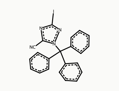 N#Cc1nc(I)nn1C(c1ccccc1)(c1ccccc1)c1ccccc1